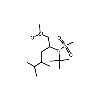 CC(C)C(C)CC(C[S+](C)[O-])N(C(C)(C)C)S(C)(=O)=O